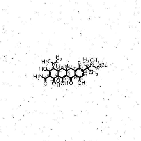 CN(C)[C@@H]1C(O)=C(C(N)=O)C(=O)[C@@]2(O)C(O)=C3C(=O)c4c(O)cc(C(C)(C)N(C)CC(C)(C)C)c(F)c4C[C@H]3C[C@@H]12